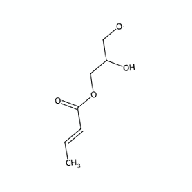 CC=CC(=O)OCC(O)C[O]